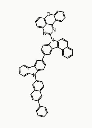 c1ccc(-c2ccc3cc(-n4c5ccccc5c5cc(-c6ccc7c(c6)c6c8ccccc8ccc6n7-c6nc7c8c(cccc8n6)Oc6ccccc6-7)ccc54)ccc3c2)cc1